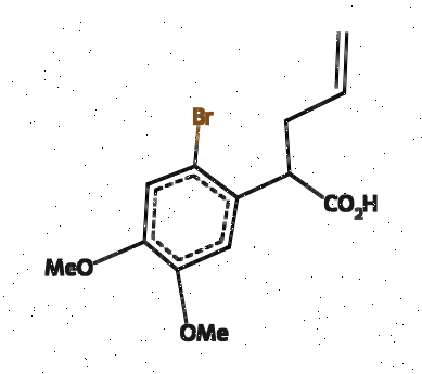 C=CCC(C(=O)O)c1cc(OC)c(OC)cc1Br